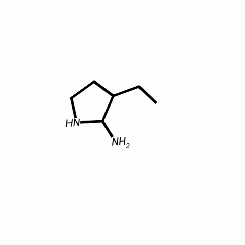 CCC1CCNC1N